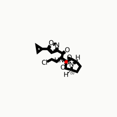 O=C(N[C@@H]1C[C@H]2CC[C@@H](C1)N2S(=O)(=O)CCCCl)c1cc(C2CC2)on1